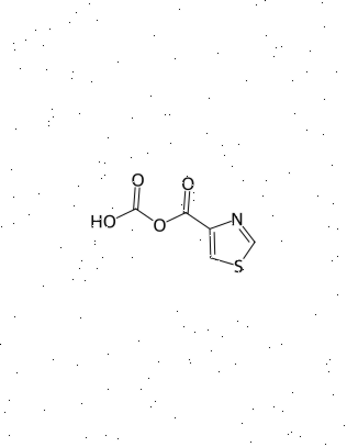 O=C(O)OC(=O)c1cscn1